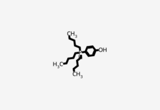 CCCCC[PH](CCCCC)(CCCCC)c1ccc(O)cc1